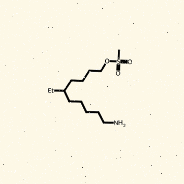 CCC(CCCCCN)CCCCOS(C)(=O)=O